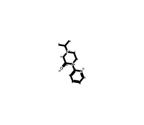 CC(C)N1CCN(c2ccccn2)C(=O)C1